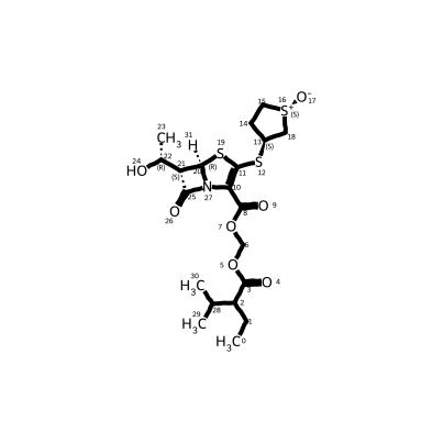 CCC(C(=O)OCOC(=O)C1=C(S[C@H]2CC[S@@+]([O-])C2)S[C@@H]2[C@@H]([C@@H](C)O)C(=O)N12)C(C)C